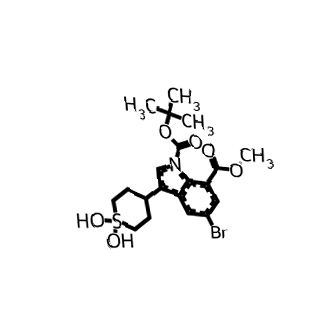 COC(=O)c1cc(Br)cc2c(C3CCS(O)(O)CC3)cn(C(=O)OC(C)(C)C)c12